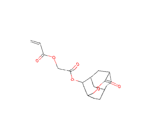 C=CC(=O)OCC(=O)OC1C2CC3CC(C2)C(=O)OC1C3